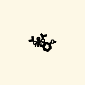 COc1cccc(NP(=O)(OC(C)C)OC(C)C)c1